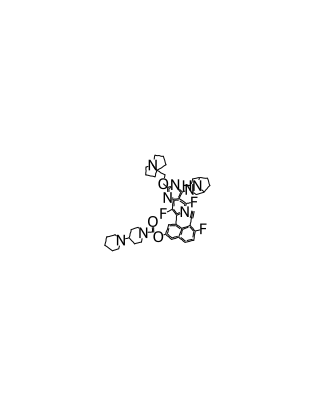 C#Cc1c(F)ccc2cc(OC(=O)N3CCC(N4CCCCC4)CC3)cc(-c3nc(F)c4c(N5CC6CCC(C5)N6)nc(OCC56CCCN5CCC6)nc4c3F)c12